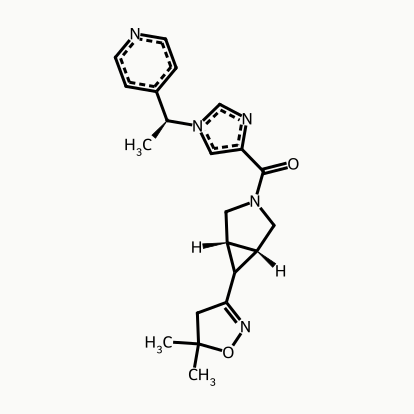 C[C@@H](c1ccncc1)n1cnc(C(=O)N2C[C@@H]3C(C4=NOC(C)(C)C4)[C@@H]3C2)c1